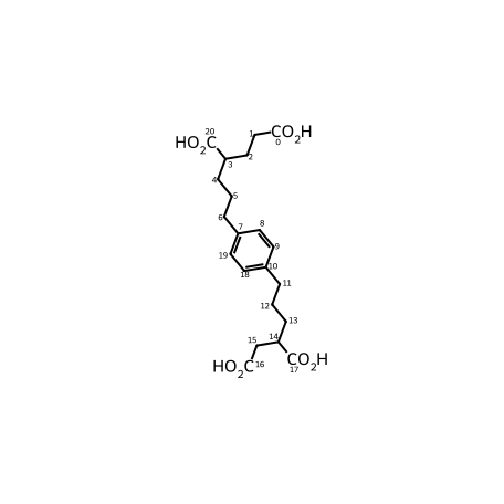 O=C(O)CCC(CCCc1ccc(CCCC(CC(=O)O)C(=O)O)cc1)C(=O)O